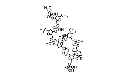 CCOP(=O)(O)OC1CC(C)OC1COP(=O)(O)OC1CC(C)OC1COP(=O)(O)OC1CC(C)OC1COP(=O)(O)OC1CC(C)OC1COP(=O)(O)OC1CCOC1COP(=O)(O)OC1CC(C)OC1COP(=O)(O)O